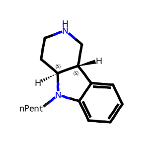 CCCCCN1c2ccccc2[C@H]2CNCC[C@@H]21